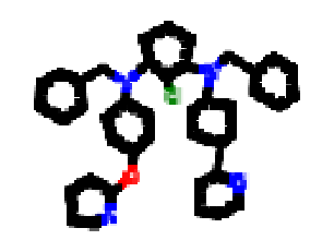 Clc1c(N(Cc2ccccc2)c2ccc(Oc3ccccn3)cc2)cccc1N(Cc1ccccc1)c1ccc(-c2ccccn2)cc1